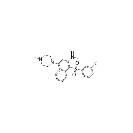 CNc1cc(N2CCN(C)CC2)c2ccccc2c1S(=O)(=O)c1cccc(Cl)c1